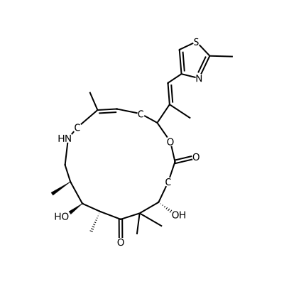 C/C1=C/CC(/C(C)=C/c2csc(C)n2)OC(=O)C[C@H](O)C(C)(C)C(=O)[C@H](C)[C@@H](O)[C@@H](C)CNC1